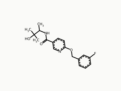 CC(NC(=O)c1ccc(OCc2cccc(F)c2)nc1)C(C)(C)O